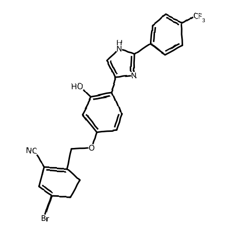 N#CC1=C(COc2ccc(-c3c[nH]c(-c4ccc(C(F)(F)F)cc4)n3)c(O)c2)CCC(Br)=C1